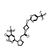 O=C(CN1CCCC1c1cc(C(F)(F)F)c(=O)[nH]n1)N1CC(Oc2ncc(C(F)(F)F)cn2)C1